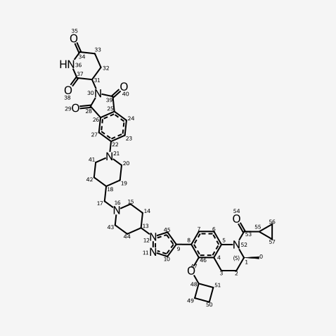 C[C@H]1CCc2c(ccc(-c3cnn(C4CCN(CC5CCN(c6ccc7c(c6)C(=O)N(C6CCC(=O)NC6=O)C7=O)CC5)CC4)c3)c2OC2CCC2)N1C(=O)C1CC1